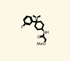 COCC(=O)NC1CCC(c2cccc(F)c2)(N(C)C)CC1